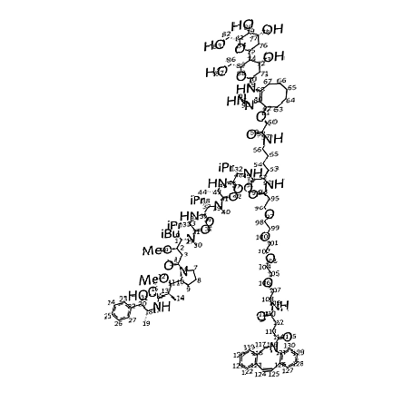 CC[C@H](C)[C@@H]([C@@H](CC(=O)N1CCC[C@H]1[C@H](OC)[C@@H](C)C(=O)N[C@H](C)[C@@H](O)c1ccccc1)OC)N(C)C(=O)[C@@H](NC(=O)[C@H](C(C)C)N(C)C(=O)[C@H](C)NC(=O)[C@@H](NC(=O)[C@@H](CCCCNC(=O)COC1CCCCC/C(N[C@@H]2C[C@@H](O)C([C@@H]3C[C@@H](O)[C@H](O)[C@@H](CO)O3)[C@@H](CO)O2)=C\1N=N)NC(=O)CCOCCOCCOCCOCCNC(=O)CCC(=O)N1Cc2ccccc2C#Cc2ccccc21)C(C)C)C(C)C